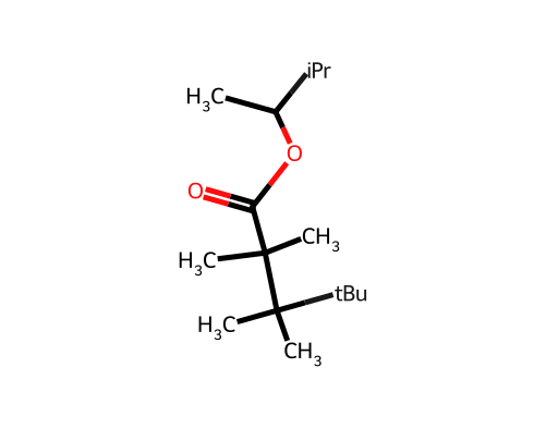 CC(C)C(C)OC(=O)C(C)(C)C(C)(C)C(C)(C)C